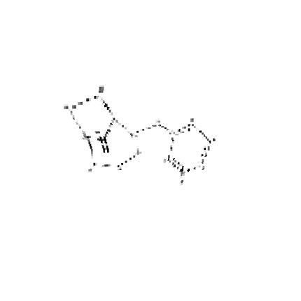 c1cncc(CC2CCCC3CCC2N3)c1